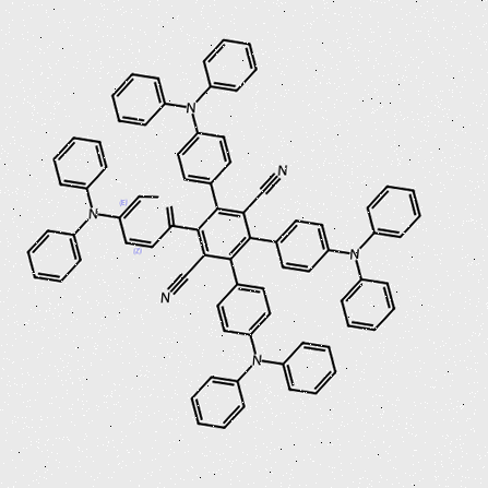 C=C(/C=C\C(=C/C)N(c1ccccc1)c1ccccc1)c1c(C#N)c(-c2ccc(N(c3ccccc3)c3ccccc3)cc2)c(-c2ccc(N(c3ccccc3)c3ccccc3)cc2)c(C#N)c1-c1ccc(N(c2ccccc2)c2ccccc2)cc1